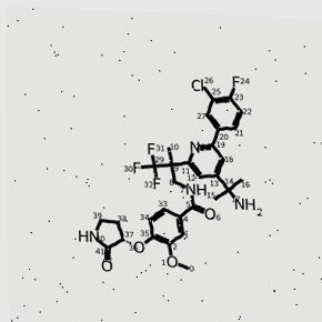 COc1cc(C(=O)NCC(C)(c2cc(C(C)(C)N)cc(-c3ccc(F)c(Cl)c3)n2)C(F)(F)F)ccc1O[C@H]1CCNC1=O